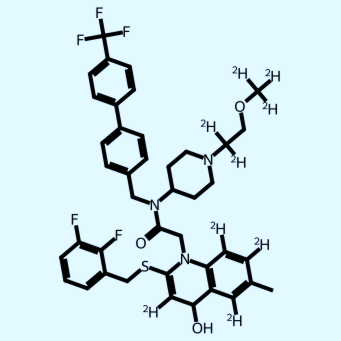 [2H]C1=C(SCc2cccc(F)c2F)N(CC(=O)N(Cc2ccc(-c3ccc(C(F)(F)F)cc3)cc2)C2CCN(C([2H])([2H])COC([2H])([2H])[2H])CC2)c2c([2H])c([2H])c(C)c([2H])c2C1O